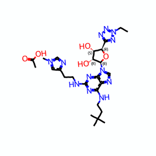 CC(=O)O.CCn1nnc([C@H]2O[C@@H](n3cnc4c(NCCC(C)(C)C)nc(NCCc5cn(C)cn5)nc43)[C@H](O)[C@@H]2O)n1